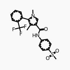 Cc1c(C(=O)Nc2ccc(S(C)(=O)=O)cc2)cn(C)c1-c1ccccc1C(F)(F)F